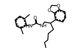 CCCCCC(CNC(=O)Nc1c(C)cccc1C)c1cccc2c1OCO2